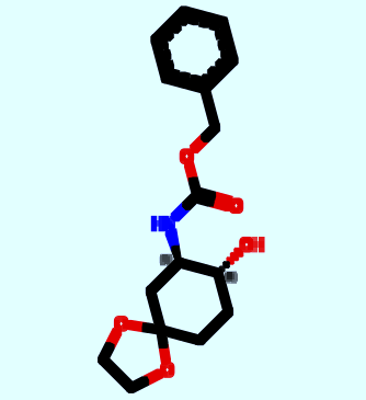 O=C(N[C@@H]1CC2(CC[C@H]1O)OCCO2)OCc1ccccc1